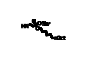 CCCCCCCCCCCCCCOS(=O)(=O)CC[NH-].[Na+]